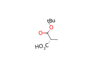 C[C@H](C(=O)O)C(=O)OC(C)(C)C